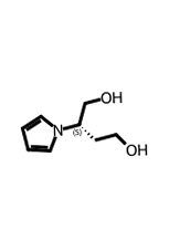 OCC[C@@H](CO)n1cccc1